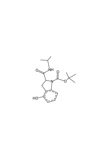 CC(C)NC(=O)C1Cc2c(O)cccc2N1C(=O)OC(C)(C)C